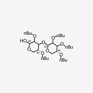 CCCCOC1C(OCCCC)[C@H](OCCCC)CO[C@H]1OC1C(OCCCC)[C@H](O)OC[C@H]1OCCCC